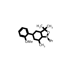 COc1ccccc1C1CC(C)C2C(C1)C(C)(C)ON2C(C)C